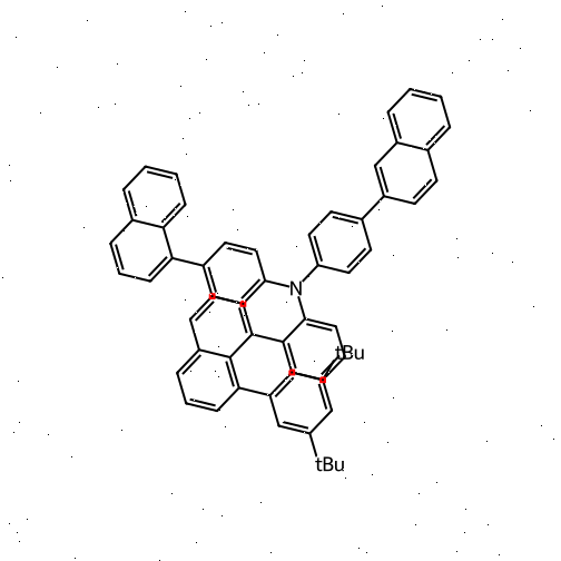 CC(C)(C)c1cc(-c2cccc3cccc(-c4ccccc4N(c4ccc(-c5ccc6ccccc6c5)cc4)c4ccc(-c5cccc6ccccc56)cc4)c23)cc(C(C)(C)C)c1